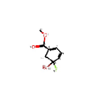 COC(=O)C1=CC=CC(F)(Br)C1